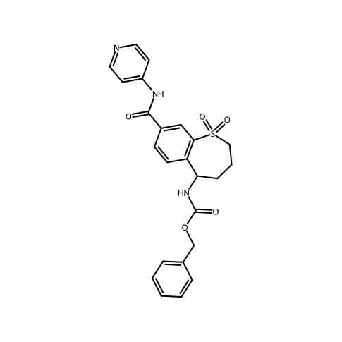 O=C(NC1CCCS(=O)(=O)c2cc(C(=O)Nc3ccncc3)ccc21)OCc1ccccc1